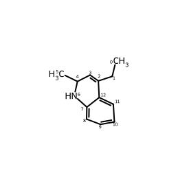 CCC1=CC(C)Nc2ccccc21